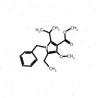 CCc1c(OC)c(C(=O)OC)c(C(C)C)n1Cc1ccccc1